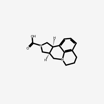 O=C(O)N1C[C@@H]2CN3CCCc4cccc(c43)[C@@H]2C1